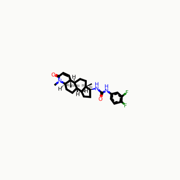 CN1C(=O)C=C[C@]2(C)[C@H]3CC[C@]4(C)[C@@H](NC(=O)Nc5ccc(F)c(F)c5)CC[C@H]4[C@@H]3CC[C@@H]12